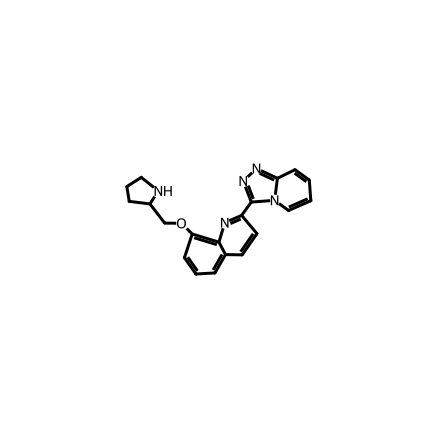 c1cc(OCC2CCCN2)c2nc(-c3nnc4ccccn34)ccc2c1